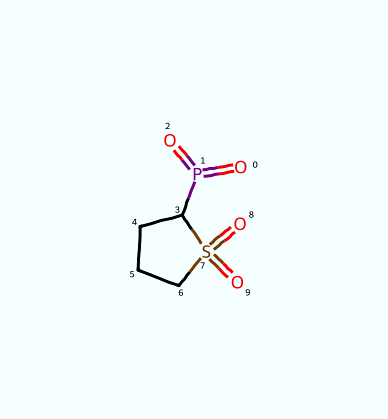 O=P(=O)C1CCCS1(=O)=O